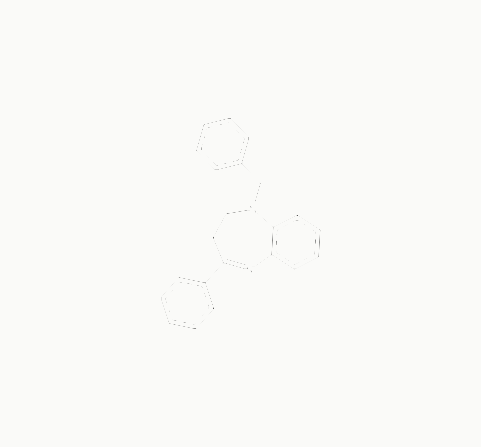 c1ccc(CN2CCC(c3ccccc3)=Nc3ccccc32)cc1